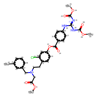 CC(C)(C)OC(=O)CN(CCc1ccc(OC(=O)c2ccc(N/C(=N\C(=O)OC(C)(C)C)NC(=O)OC(C)(C)C)cc2)cc1Cl)Cc1cccc(C(C)(C)C)c1